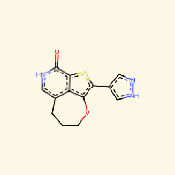 O=c1[nH]cc2c3c(c(-c4cn[nH]c4)sc13)OCCC2